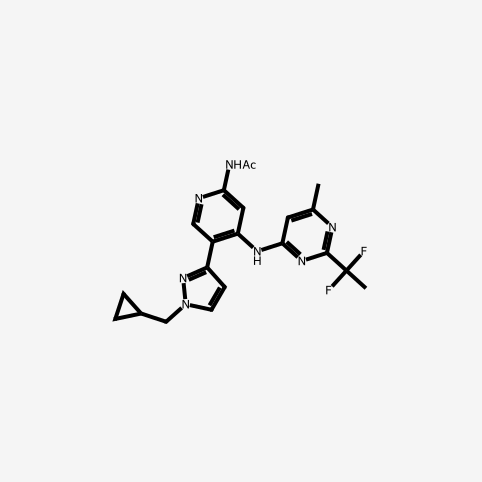 CC(=O)Nc1cc(Nc2cc(C)nc(C(C)(F)F)n2)c(-c2ccn(CC3CC3)n2)cn1